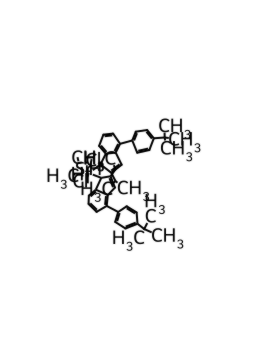 CCC1=Cc2c(-c3ccc(C(C)(C)C)cc3)cccc2[CH]1[Hf]([Cl])([Cl])([CH]1C(C(C)C)=Cc2c(-c3ccc(C(C)(C)C)cc3)cccc21)[SiH](C)C